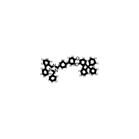 c1ccc(-c2nc(-c3ccc(-c4ccc5c(c4)Oc4c(ccc6c4-c4ccccc4C6(c4ccccc4)c4ccccc4)O5)cc3)nc(-c3ccccc3-c3ccccc3)n2)cc1